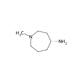 CN1CCC[C@@H](N)CC1